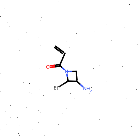 C=CC(=O)N1CC(N)C1CC